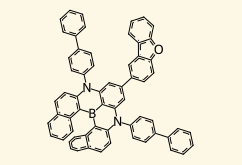 c1ccc(-c2ccc(N3c4cc(-c5ccc6oc7ccccc7c6c5)cc5c4B(c4c3ccc3ccccc43)c3c(ccc4ccccc34)N5c3ccc(-c4ccccc4)cc3)cc2)cc1